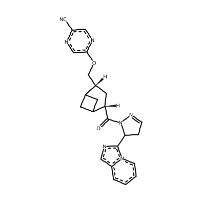 N#Cc1cnc(OC[C@@H]2C[C@H](C(=O)N3N=CCC3c3ncc4ccccn34)C3CC2C3)cn1